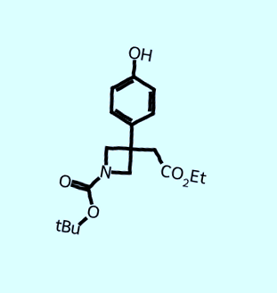 CCOC(=O)CC1(c2ccc(O)cc2)CN(C(=O)OC(C)(C)C)C1